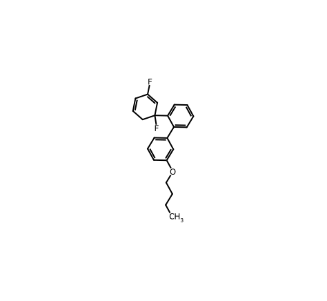 CCCCOc1cccc(-c2ccccc2C2(F)C=C(F)C=CC2)c1